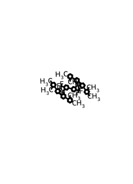 Cc1ccc(-c2ccc3c4ccc(-c5ccc(C)cc5C)cc4n(-c4cc(-c5ccc(C(F)(F)F)c(-n6c7cc(-c8ccc(C)cc8C)ccc7c7ccc(-c8ccc(C)cc8C)cc76)c5)ccc4C(F)(F)F)c3c2)c(C)c1